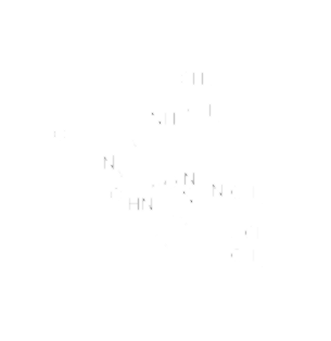 CC(C)CNCc1cc(C(=O)Nc2cccc(C3(c4nncn4C)CC(C)(C)C3)c2)c(=O)n(CC2COC2)c1